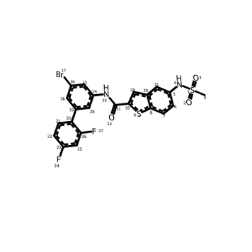 CS(=O)(=O)Nc1ccc2sc(C(=O)Nc3cc(Br)cc(-c4ccc(F)cc4F)c3)cc2c1